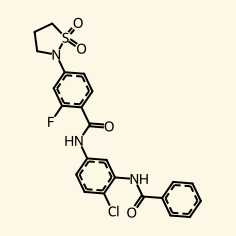 O=C(Nc1cc(NC(=O)c2ccc(N3CCCS3(=O)=O)cc2F)ccc1Cl)c1ccccc1